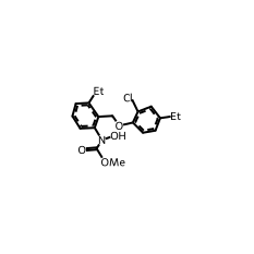 CCc1ccc(OCc2c(CC)cccc2N(O)C(=O)OC)c(Cl)c1